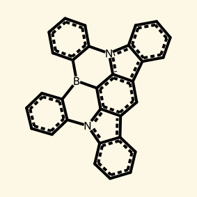 c1ccc2c(c1)B1c3ccccc3-n3c4ccccc4c4cc5c6ccccc6n-2c5c1c43